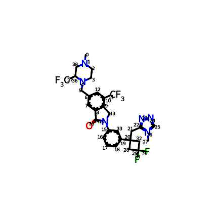 CN1CCN(Cc2cc3c(c(C(F)(F)F)c2)CN(c2cccc(C4(Cc5nncn5C)CC(F)(F)C4)c2)C3=O)C(C(F)(F)F)C1